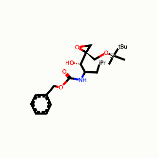 CC(C)CC(NC(=O)OCc1ccccc1)[C@H](O)[C@@]1(CO[Si](C)(C)C(C)(C)C)CO1